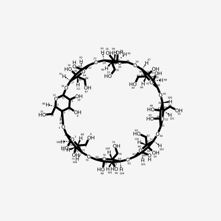 OC[C@H]1OC2O[C@H]3C(O)C(O)C(O[C@@H]3CO)O[C@H]3C(O)[C@@H](O)C(O[C@H]4[C@H](O)[C@@H](O)C(O[C@@H]4CO)O[C@H]4C(O)[C@@H](O)C(O[C@@H]4CO)O[C@H]4C(O)C(O)C(O[C@@H]4CO)O[C@H]4C(O)[C@@H](O)C(O[C@H]5[C@H](O)C(O)C(O[C@H]1[C@H](O)[C@H]2O)O[C@@H]5CO)O[C@@H]4CO)O[C@@H]3CO